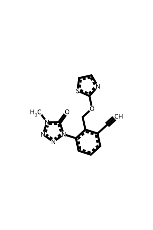 C#Cc1cccc(-n2nnn(C)c2=O)c1COc1nccs1